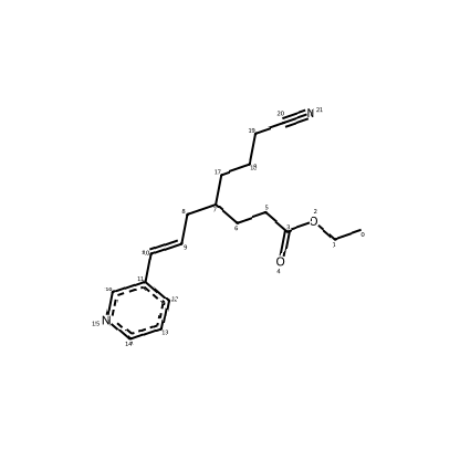 CCOC(=O)CCC(CC=Cc1cccnc1)CCCC#N